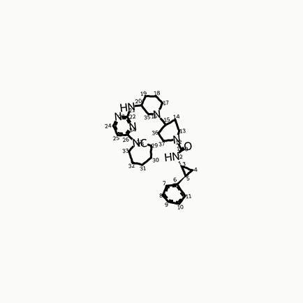 O=C(N[C@@H]1C[C@H]1c1ccccc1)N1CCC(N2CCCC(Nc3nccc(N4CCCCCC4)n3)C2)CC1